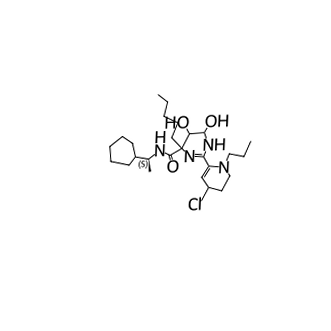 CCCCCC1(C(=O)N[C@@H](C)C2CCCCC2)N=C(C2=CC(Cl)CCN2CCC)NC(O)C1O